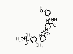 Cc1cc(C(=O)N(C)C)ccc1-c1cccc(S(=O)(=O)N2CCC3(CC2)N=C(c2cccc(OF)c2)NC3=O)n1